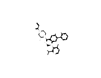 C=CC(=O)N1CCN(c2nc(=O)n(-c3c(C)ccnc3C(C)C)c3cc(-c4ccccc4F)c(Cl)cc23)[C@@H](C)C1